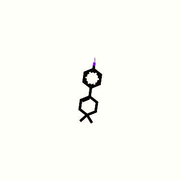 CC1(C)CC=C(c2ccc(I)cc2)CC1